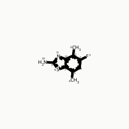 Cc1c(F)cc(C)c2sc(N)nc12